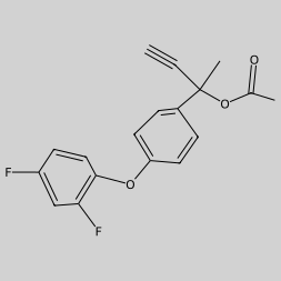 C#CC(C)(OC(C)=O)c1ccc(Oc2ccc(F)cc2F)cc1